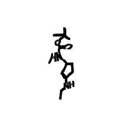 CCNC1CCC(NC(=O)OC(C)(C)C)C1